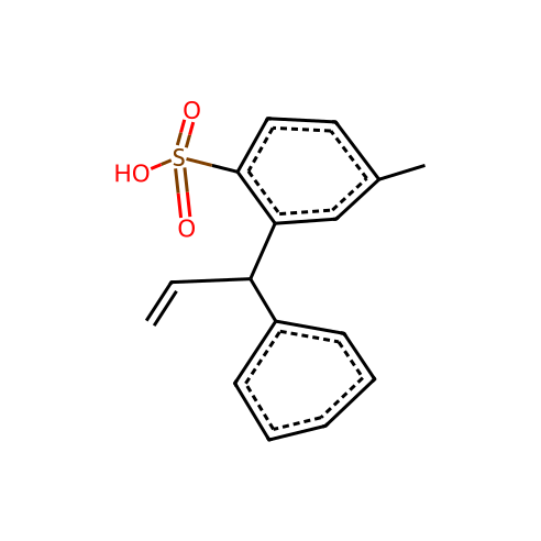 C=CC(c1ccccc1)c1cc(C)ccc1S(=O)(=O)O